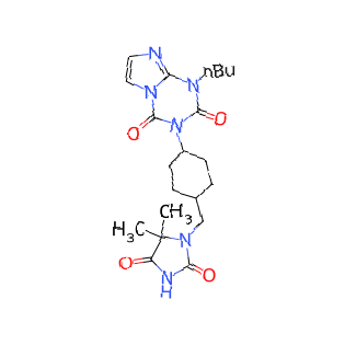 CCCCn1c(=O)n(C2CCC(CN3C(=O)NC(=O)C3(C)C)CC2)c(=O)n2ccnc12